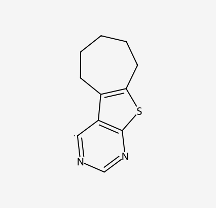 [c]1ncnc2sc3c(c12)CCCCC3